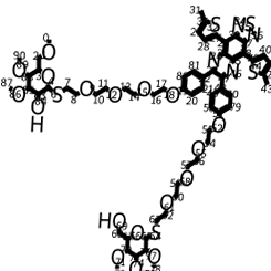 COCC1OC(SCCOCCOCCOCCOc2ccc(-c3nc4c(-c5ccc(C)s5)c5nsnc5c(-c5ccc(C)s5)c4nc3-c3ccc(OCCOCCOCCOCCSC4OC(CO)C(OC)C(OC)C4OC)cc3)cc2)C(O)C(OC)C1OC